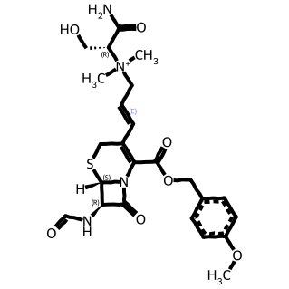 COc1ccc(COC(=O)C2=C(/C=C/C[N+](C)(C)[C@H](CO)C(N)=O)CS[C@H]3[C@H](NC=O)C(=O)N23)cc1